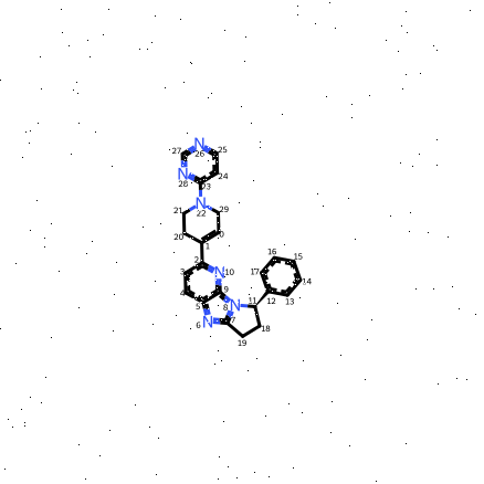 C1=C(c2ccc3nc4n(c3n2)[C@@H](c2ccccc2)CC4)CCN(c2ccncn2)C1